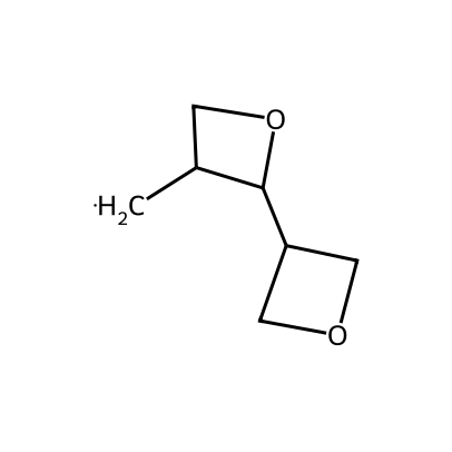 [CH2]C1COC1C1COC1